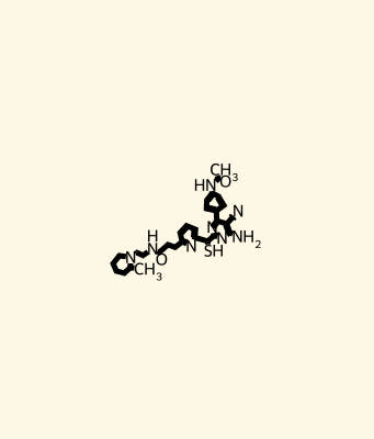 CC(=O)Nc1ccc(-c2nc(C(S)c3cccc(CCC(=O)NCCN4CCCCC4C)n3)nc(N)c2C#N)cc1